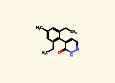 CCc1cc(C)cc(CC)c1-c1ccn[nH]c1=O